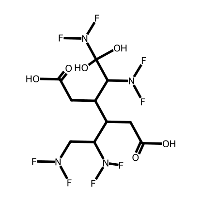 O=C(O)CC(C(CC(=O)O)C(N(F)F)C(O)(O)N(F)F)C(CN(F)F)N(F)F